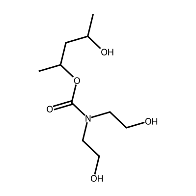 CC(O)CC(C)OC(=O)N(CCO)CCO